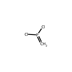 C=[P](Cl)Cl